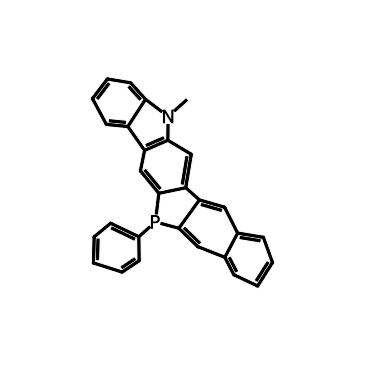 Cn1c2ccccc2c2cc3c(cc21)c1cc2ccccc2cc1p3-c1ccccc1